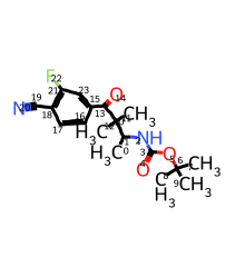 CC(NC(=O)OC(C)(C)C)C(C)(C)C(=O)c1ccc(C#N)c(F)c1